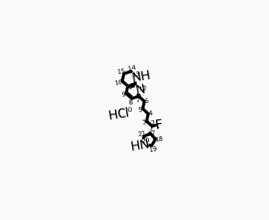 Cl.FC(CCCCc1ccc2c(n1)NCCC2)[C@@H]1CCNC1